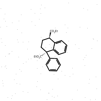 CCOC(=O)[C@@H]1CC[C@](C(=O)OCC)(c2ccccc2)c2ccccc21